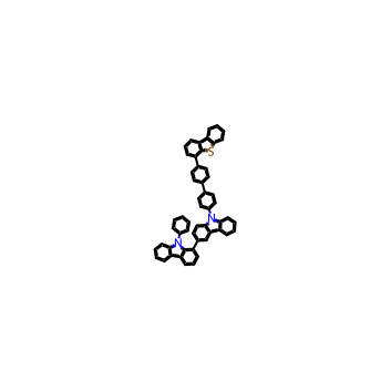 c1ccc(-n2c3ccccc3c3cccc(-c4ccc5c(c4)c4ccccc4n5-c4ccc(-c5ccc(-c6cccc7c6sc6ccccc67)cc5)cc4)c32)cc1